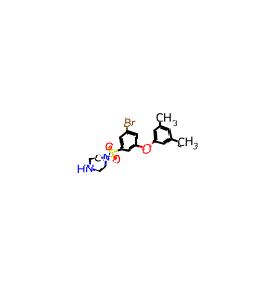 Cc1cc(C)cc(Oc2cc(Br)cc(S(=O)(=O)N3CCNCC3)c2)c1